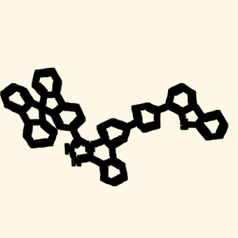 c1ccc2c(c1)-c1ccccc1C21c2ccccc2-c2ccc(-c3nnc4c5ccccc5c5cc(-c6ccc(-c7cccc8c7sc7ccccc78)cc6)ccc5n34)cc21